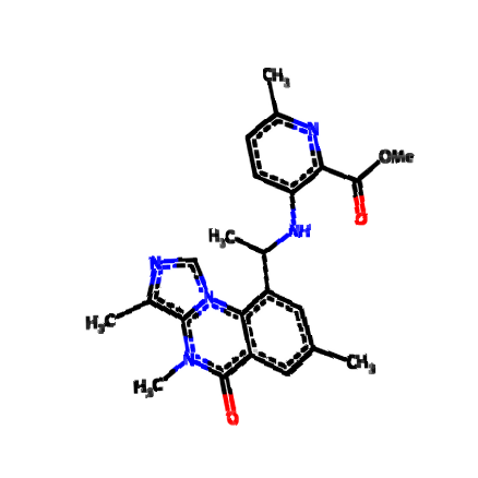 COC(=O)c1nc(C)ccc1NC(C)c1cc(C)cc2c(=O)n(C)c3c(C)ncn3c12